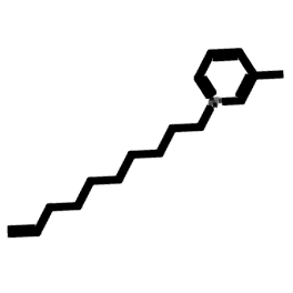 C=CCCCCCCCC[n+]1cccc(C)c1